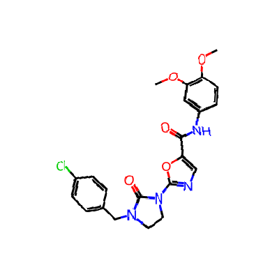 COc1ccc(NC(=O)c2cnc(N3CCN(Cc4ccc(Cl)cc4)C3=O)o2)cc1OC